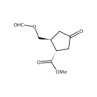 COC(=O)[C@H]1CC(=O)C[C@@H]1COC=O